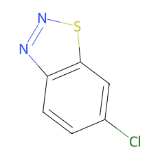 Clc1ccc2nnsc2c1